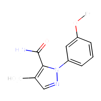 CCOc1cccc(-n2ncc(C(=O)O)c2C(N)=O)c1